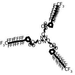 O=S(=O)(OCCOc1nc(OCCOS(=O)(=O)c2cccc(C(F)(F)C(F)(F)C(F)(F)C(F)(F)C(F)(F)C(F)(F)C(F)(F)C(F)(F)F)c2)nc(OCCOS(=O)(=O)c2cccc(C(F)(F)C(F)(F)C(F)(F)C(F)(F)C(F)(F)C(F)(F)C(F)(F)C(F)(F)F)c2)n1)c1cccc(C(F)(F)C(F)(F)C(F)(F)C(F)(F)C(F)(F)C(F)(F)C(F)(F)C(F)(F)F)c1